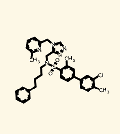 Cc1cccc(Cn2cnnc2CN(CCCCc2ccccc2)S(=O)(=O)c2ccc(-c3ccc(C)c(Cl)c3)cc2C)n1